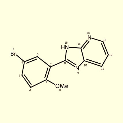 COc1ccc(Br)cc1-c1nc2cccnc2[nH]1